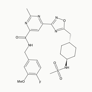 COc1cc(CNC(=O)c2cc(-c3noc(C[C@H]4CC[C@H](NS(C)(=O)=O)CC4)n3)nc(C)n2)ccc1F